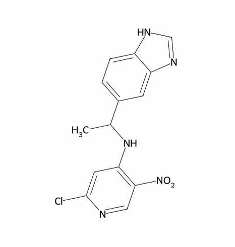 CC(Nc1cc(Cl)ncc1[N+](=O)[O-])c1ccc2[nH]cnc2c1